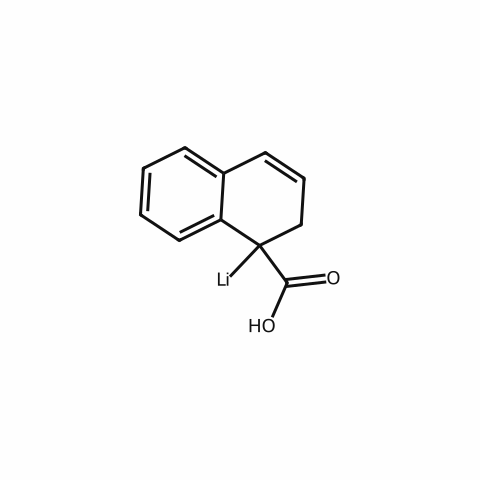 [Li][C]1(C(=O)O)CC=Cc2ccccc21